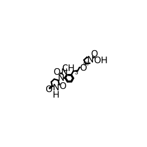 Cn1c(=O)n(C2CCC(=O)NC2=O)c2cccc(CCCO[C@@H]3CCN(C(=O)O)C3)c21